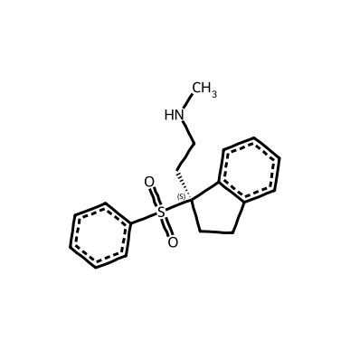 CNCC[C@@]1(S(=O)(=O)c2ccccc2)CCc2ccccc21